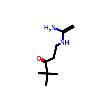 C=C(N)NCCC(=O)C(C)(C)C